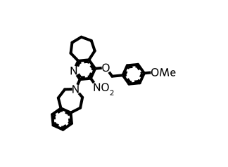 COc1ccc(COc2c3c(nc(N4CCc5ccccc5CC4)c2[N+](=O)[O-])CCCCC3)cc1